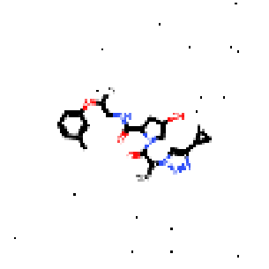 CCC(CNC(=O)C1CC(O)CN1C(=O)C(n1cc(C2CC2)nn1)C(C)(C)C)Oc1cccc(C)c1